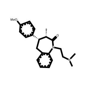 COc1ccc([C@H]2Cc3ccccc3N(CCN(C)C)C(=O)[C@H]2C)cc1